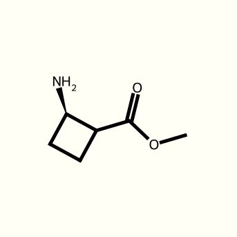 COC(=O)C1CC[C@H]1N